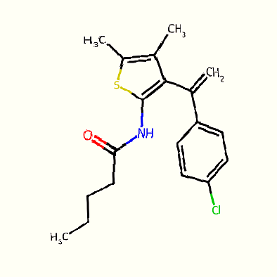 C=C(c1ccc(Cl)cc1)c1c(NC(=O)CCCC)sc(C)c1C